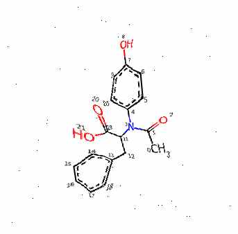 CC(=O)N(c1ccc(O)cc1)C(Cc1ccccc1)C(=O)O